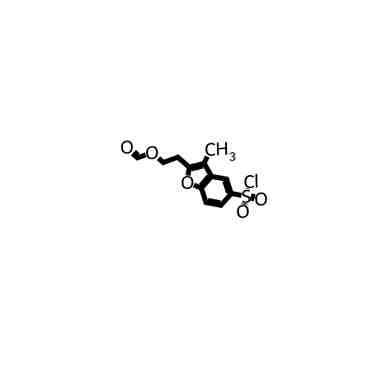 Cc1c(CCOC=O)oc2ccc(S(=O)(=O)Cl)cc12